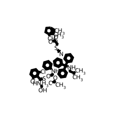 CC(C)CNC(c1ccccc1)(c1ccccc1)c1ccccc1.CC(C)OC(=O)Nc1ccccc1.CC1(C)C2CCC1(C)C(OC(=O)CSC#N)C2.OCNC(=S)c1c(Cl)cccc1Cl